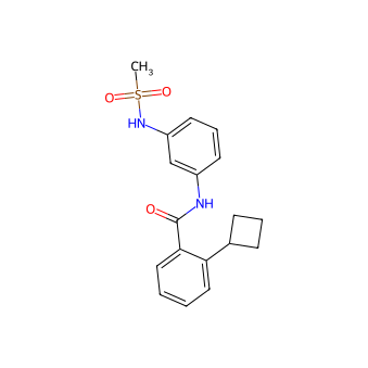 CS(=O)(=O)Nc1cccc(NC(=O)c2ccccc2C2CCC2)c1